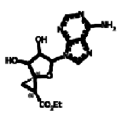 CCOC(=O)[C@H]1C[C@]12OC(n1cnc3c(N)ncnc31)C(O)C2O